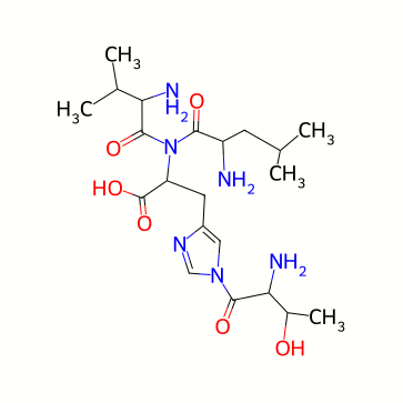 CC(C)CC(N)C(=O)N(C(=O)C(N)C(C)C)C(Cc1cn(C(=O)C(N)C(C)O)cn1)C(=O)O